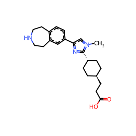 Cn1cc(-c2ccc3c(c2)CCNCC3)nc1[C@H]1CC[C@H](CCC(=O)O)CC1